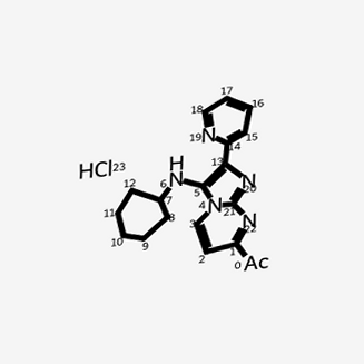 CC(=O)c1ccn2c(NC3CCCCC3)c(-c3ccccn3)nc2n1.Cl